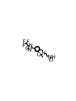 CC(=O)N(CCNCl)Cc1ccc(-c2noc(C(F)(F)F)n2)cc1